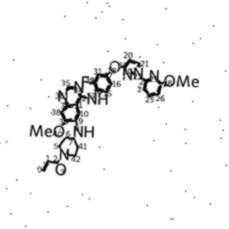 C=CC(=O)N1CCC(Nc2cc3c(Nc4ccc(Oc5ccn(-c6cccc(OC)n6)n5)cc4F)ncnc3cc2OC)CC1